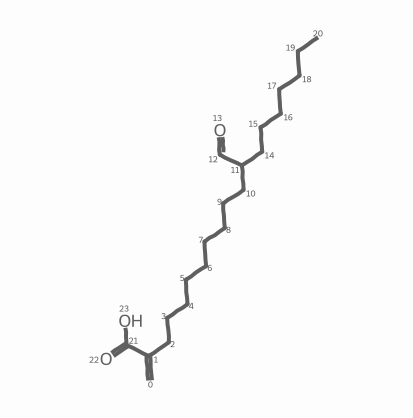 C=C(CCCCCCCCCC(C=O)CCCCCCC)C(=O)O